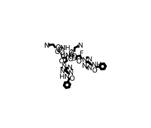 N#CCCOP(N)(=O)OC[C@H]1O[C@@H](n2cnc3c(NC(=O)c4ccccc4)ncnc32)C[C@@H]1NP(=O)(OCCC#N)OC[C@@H]1C[C@@H](F)[C@H](n2cnc3c(NC(=O)c4ccccc4)ncnc32)O1